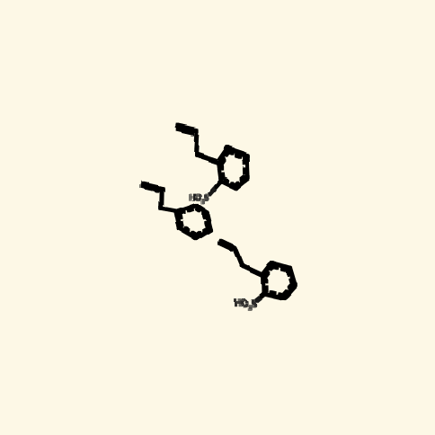 C=CCc1ccccc1.C=CCc1ccccc1S(=O)(=O)O.C=CCc1ccccc1S(=O)(=O)O